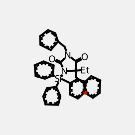 CCC1(Cc2ccccc2)C(=O)N(Cc2ccccc2)C(=O)N1[Si](c1ccccc1)(c1ccccc1)c1ccccc1